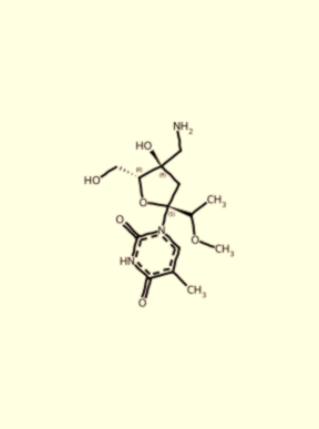 COC(C)[C@]1(n2cc(C)c(=O)[nH]c2=O)C[C@@](O)(CN)[C@@H](CO)O1